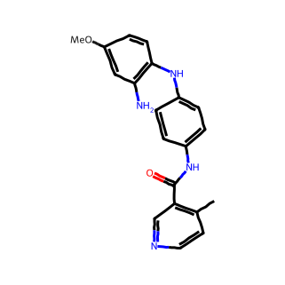 COc1ccc(Nc2ccc(NC(=O)c3cnccc3C)cc2)c(N)c1